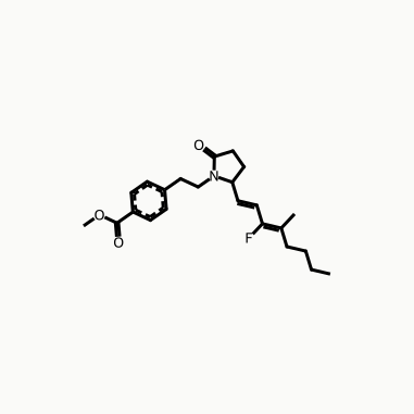 CCCC/C(C)=C(F)/C=C/C1CCC(=O)N1CCc1ccc(C(=O)OC)cc1